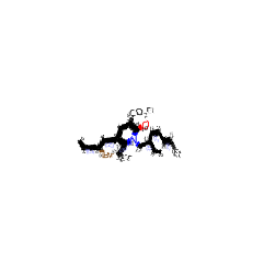 C\C=C(Br)/C=c1/cc(C(=O)OCC)c(=O)n(CC(/C=C\C=C\CC)=C/C)/c1=C\CC